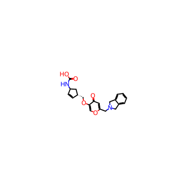 O=C(O)NC1C=C[C@@H](COc2coc(CN3Cc4ccccc4C3)cc2=O)C1